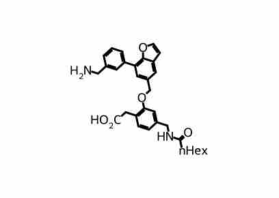 CCCCCCC(=O)NCc1ccc(CC(=O)O)c(OCc2cc(-c3cccc(CN)c3)c3occc3c2)c1